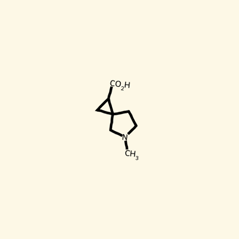 CN1CCC2(CC2C(=O)O)C1